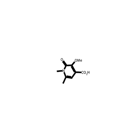 COc1c(C(=O)O)cc(C)n(C)c1=O